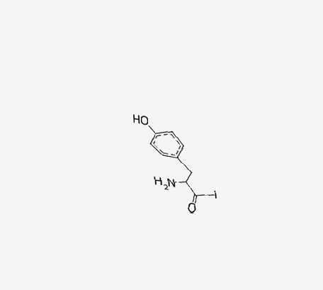 NC(Cc1ccc(O)cc1)C(=O)I